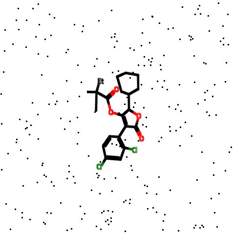 CCC(C)(C)C(=O)OC1=C(c2ccc(Cl)cc2Cl)C(=O)OC1C1CCCCC1